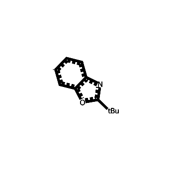 CC(C)(C)c1nc2cc[c]cc2o1